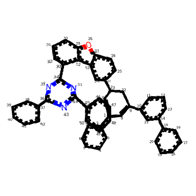 C1=C(c2ccccc2)C=C(c2cccc(-c3ccccc3)c2)CC1c1ccc2oc3cccc(-c4nc(-c5ccccc5)nc(-c5ccccc5)n4)c3c2c1